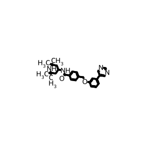 CC1(C)CC(NC(=O)c2ccc(COc3cccc(-c4cncnc4)c3)cc2)CC(C)(C)N1